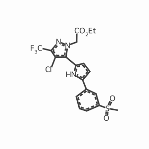 CCOC(=O)Cn1nc(C(F)(F)F)c(Cl)c1-c1ccc(-c2cccc(S(C)(=O)=O)c2)[nH]1